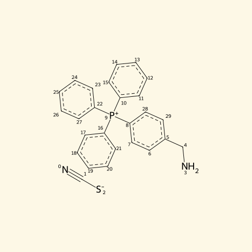 N#C[S-].NCc1ccc([P+](c2ccccc2)(c2ccccc2)c2ccccc2)cc1